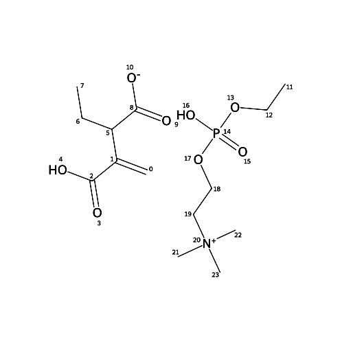 C=C(C(=O)O)C(CC)C(=O)[O-].CCOP(=O)(O)OCC[N+](C)(C)C